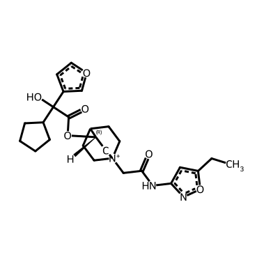 CCc1cc(NC(=O)C[N+]23CCC(CC2)[C@@H](OC(=O)C(O)(c2ccoc2)C2CCCC2)C3)no1